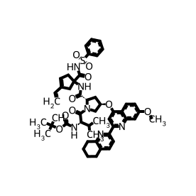 C=CC1=CCC(NC(=O)[C@@H]2C[C@@H](Oc3cc(-c4ccc5c(n4)CCCC5)nc4cc(OC)ccc34)CN2C(=O)[C@@H](NC(=O)OC(C)(C)C)C(C)C)(C(=O)NS(=O)(=O)c2ccccc2)C1